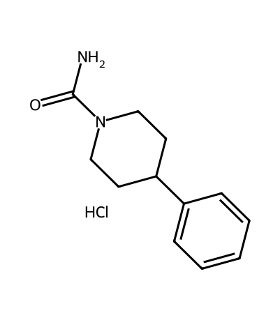 Cl.NC(=O)N1CCC(c2ccccc2)CC1